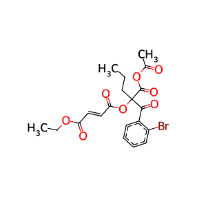 CCCC(OC(=O)C=CC(=O)OCC)(C(=O)OC(C)=O)C(=O)c1ccccc1Br